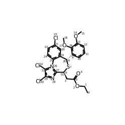 CCOC(=O)C[C@@H]1S[C@@H](c2cccc(OC)c2OC)c2cc(Cl)ccc2-n2c1nc(Cl)c2Cl